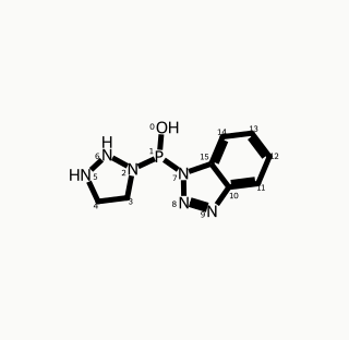 OP(N1CCNN1)n1nnc2ccccc21